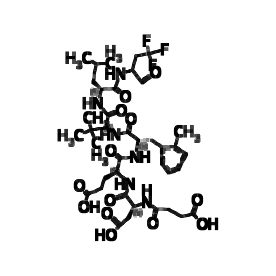 Cc1ccccc1C[C@H](NC(=O)[C@H](CCC(=O)O)NC(=O)[C@H](CC(=O)O)NC(=O)CCC(=O)O)C(=O)N[C@H](C(=O)N[C@@H](CC(C)C)C(=O)NC(C=O)CC(F)(F)F)C(C)(C)C